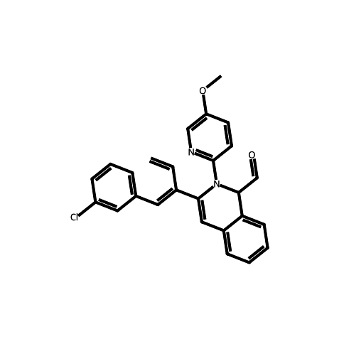 C=CC(=Cc1cccc(Cl)c1)C1=Cc2ccccc2C(C=O)N1c1ccc(OC)cn1